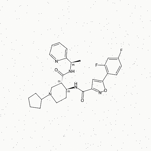 C[C@@H](NC(=O)[C@H]1CN(C2CCCC2)CC[C@@H]1NC(=O)c1cc(-c2ccc(F)cc2F)on1)c1ccccn1